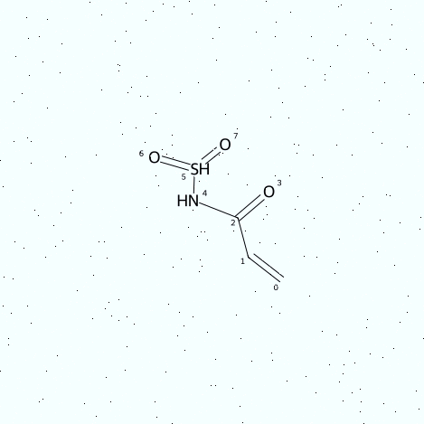 C=CC(=O)N[SH](=O)=O